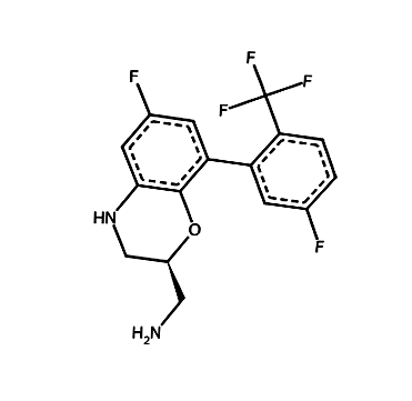 NC[C@H]1CNc2cc(F)cc(-c3cc(F)ccc3C(F)(F)F)c2O1